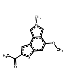 COc1cc2sc(C(C)=O)cc2c2cn(C)nc12